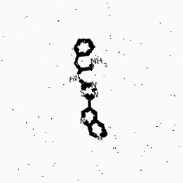 NCC(Cc1ccccc1)Nc1nnc(-c2cnc3cnccc3c2)s1